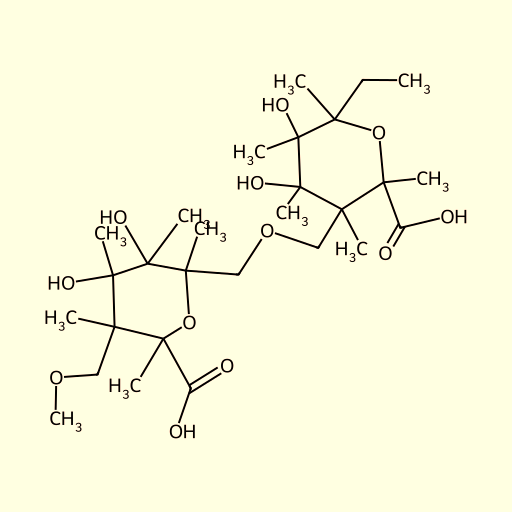 CCC1(C)OC(C)(C(=O)O)C(C)(COCC2(C)OC(C)(C(=O)O)C(C)(COC)C(C)(O)C2(C)O)C(C)(O)C1(C)O